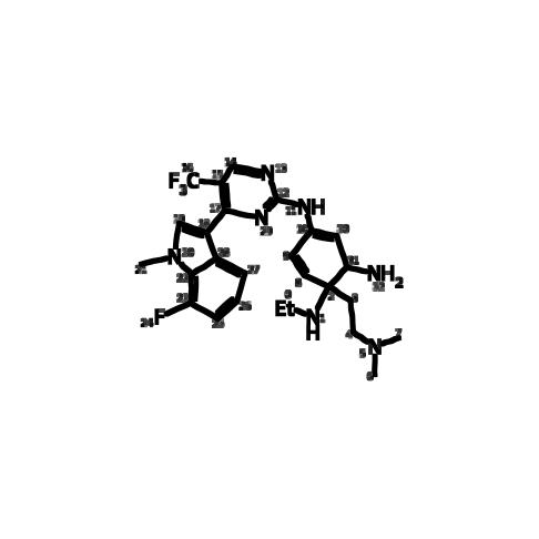 CCNC1(CCN(C)C)C=CC(Nc2ncc(C(F)(F)F)c(-c3cn(C)c4c(F)cccc34)n2)=CC1N